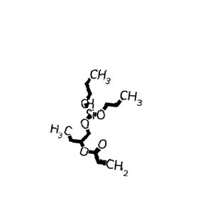 C=CC(=O)OC(CC)CO[SiH](OCCC)OCCC